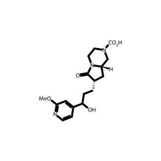 COc1cc(C(O)CC[C@H]2C[C@H]3CN(C(=O)O)CCN3C2=O)ccn1